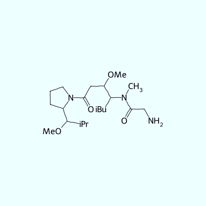 CCC(C)C(C(CC(=O)N1CCCC1C(OC)C(C)C)OC)N(C)C(=O)CN